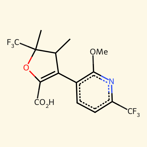 COc1nc(C(F)(F)F)ccc1C1=C(C(=O)O)OC(C)(C(F)(F)F)C1C